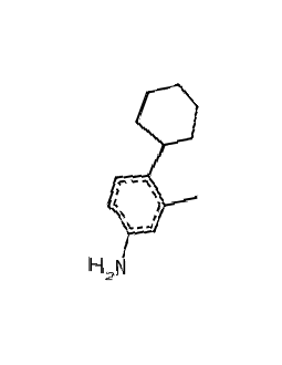 Cc1cc(N)ccc1C1CCCCC1